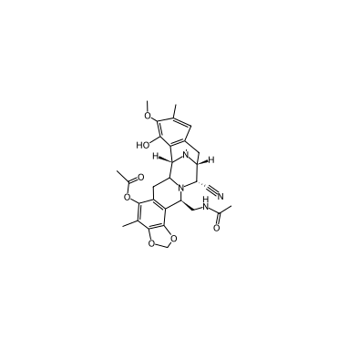 COc1c(C)cc2c(c1O)[C@H]1C3Cc4c(OC(C)=O)c(C)c5c(c4[C@H](CNC(C)=O)N3[C@@H](C#N)[C@@H](C2)N1C)OCO5